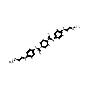 CSCCSc1ccc(OC(=O)[C@H]2CC[C@H](C(=O)Oc3ccc(SCCSC)cc3)CC2)cc1